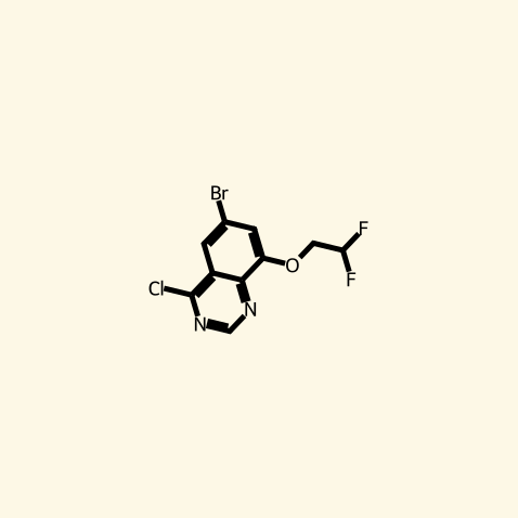 FC(F)COc1cc(Br)cc2c(Cl)ncnc12